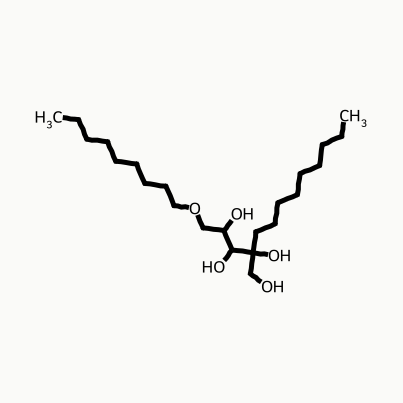 CCCCCCCCCOCC(O)C(O)C(O)(CO)CCCCCCCCC